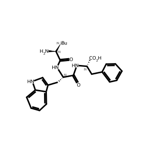 CC[C@H](C)[C@H](N)C(=O)N[C@@H](Cc1c[nH]c2ccccc12)C(=O)N[C@@H](Cc1ccccc1)C(=O)O